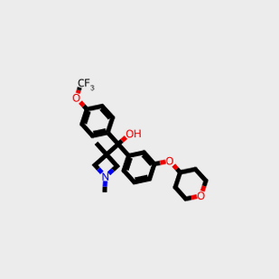 CN1CC(C)(C(O)(c2ccc(OC(F)(F)F)cc2)c2cccc(OC3CCOCC3)c2)C1